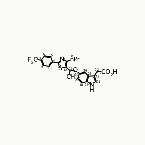 CCCc1nc(-c2ccc(C(F)(F)F)cc2)sc1C(C)Oc1ccc2[nH]cc(CC(=O)O)c2c1